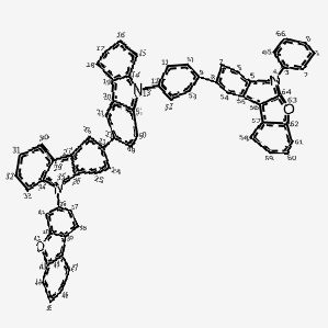 c1ccc(-n2c3ccc(-c4ccc(-n5c6ccccc6c6cc(-c7ccc8c(c7)c7ccccc7n8-c7ccc8c(c7)oc7ccccc78)ccc65)cc4)cc3c3c4ccccc4oc32)cc1